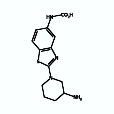 NC1CCCN(c2nc3cc(NC(=O)O)ccc3s2)C1